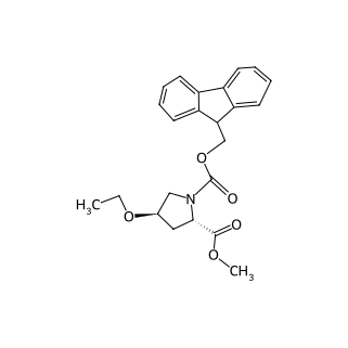 CCO[C@@H]1C[C@@H](C(=O)OC)N(C(=O)OCC2c3ccccc3-c3ccccc32)C1